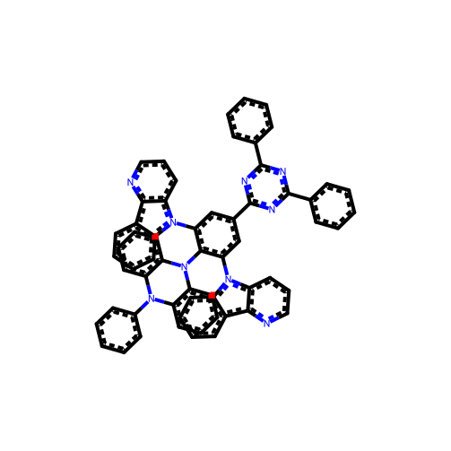 c1ccc(-c2nc(-c3ccccc3)nc(-c3cc(-n4c5ccccc5c5ncccc54)c(N4c5ccccc5N(c5ccccc5)c5ccccc54)c(-n4c5ccccc5c5ncccc54)c3)n2)cc1